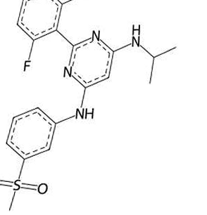 CC(C)Nc1cc(Nc2cccc(S(C)(=O)=O)c2)nc(-c2c(F)cccc2F)n1